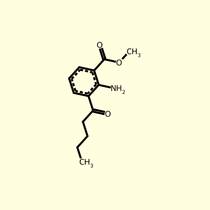 CCCCC(=O)c1cccc(C(=O)OC)c1N